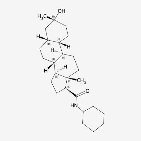 C[C@@]1(O)CC[C@H]2[C@H](CC[C@@H]3[C@@H]2CC[C@]2(C)[C@@H](C(=O)NC4CCCCC4)CC[C@@H]32)C1